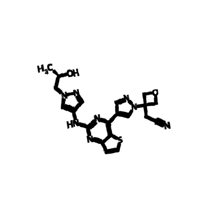 C[C@@H](O)Cn1cc(Nc2nc(-c3cnn(C4(CC#N)COC4)c3)c3sccc3n2)cn1